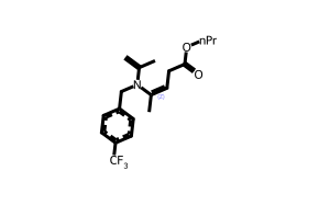 C=C(C)N(Cc1ccc(C(F)(F)F)cc1)/C(C)=C\CC(=O)OCCC